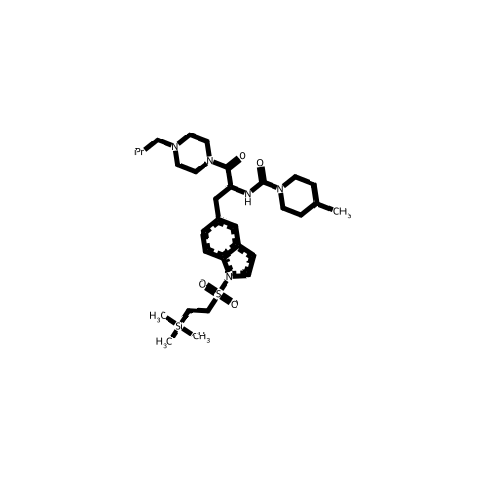 CC(C)CN1CCN(C(=O)C(Cc2ccc3c(ccn3S(=O)(=O)CC[Si](C)(C)C)c2)NC(=O)N2CCC(C)CC2)CC1